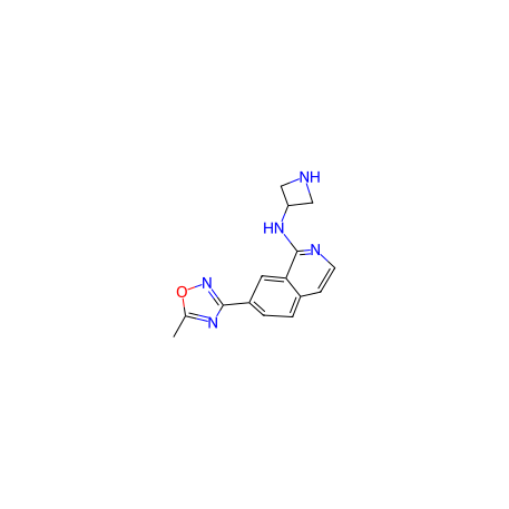 Cc1nc(-c2ccc3ccnc(NC4CNC4)c3c2)no1